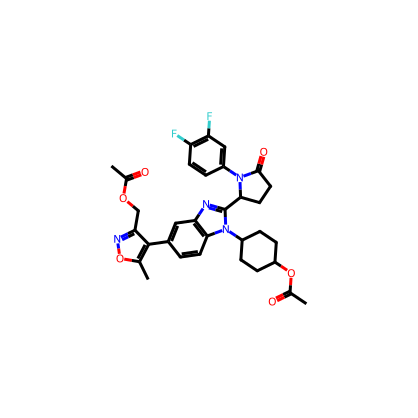 CC(=O)OCc1noc(C)c1-c1ccc2c(c1)nc(C1CCC(=O)N1c1ccc(F)c(F)c1)n2C1CCC(OC(C)=O)CC1